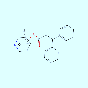 O=C(CC(c1ccccc1)c1ccccc1)O[C@@H]1CN2CCC1CC2